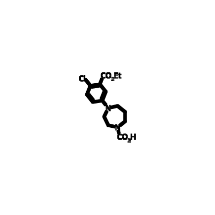 CCOC(=O)c1cc(N2CCCN(C(=O)O)CC2)ccc1Cl